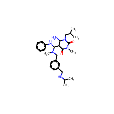 CC(C)CN1C(=O)N(C)C(=O)C(C(Nc2ccccc2)N(C)Cc2cccc(CNC(C)C)c2)C1N